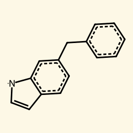 C1=Cc2ccc(Cc3ccccc3)cc2[N]1